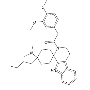 CCCCC1(N(C)C)CCC2(CC1)c1[nH]c3ccccc3c1CCN2C(=O)Cc1ccc(OC)c(OC)c1